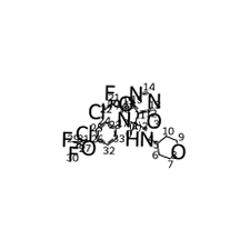 C[C@](C(=O)NC1CCOCC1)(c1cncnc1)N(C(=O)[C@H](F)Cl)c1ccc(OC(F)(F)Cl)cc1